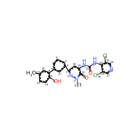 CCn1nc(-c2cccc(-c3cc(C)ccc3O)c2)cc(NC(=O)Nc2c(Cl)cncc2Cl)c1=O